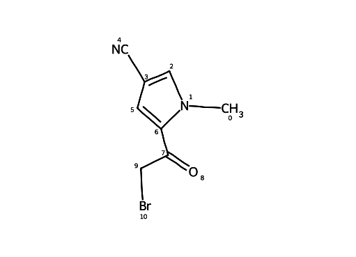 Cn1cc(C#N)cc1C(=O)CBr